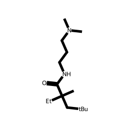 CCC(C)(CC(C)(C)C)C(=O)NCCCN(C)C